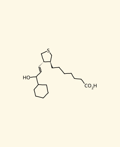 O=C(O)CCCCCC[C@@H]1CSC[C@H]1/C=C/C(O)C1CCCCC1